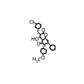 COc1ccc(-n2c(-c3ccccc3)cc3oc(=O)c(Sc4cccc(Cl)c4)c(O)c3c2=O)cc1